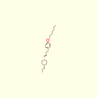 CCCCCCCOc1ccc(CCC=C[C@H]2CC[C@H](CCC)CC2)cc1